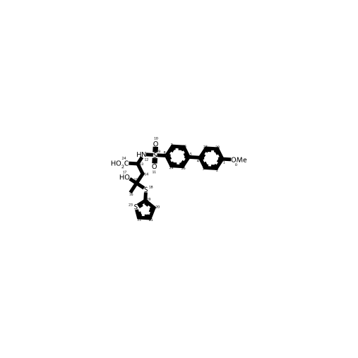 COc1ccc(-c2ccc(S(=O)(=O)NC(CC(C)(O)Sc3cccs3)C(=O)O)cc2)cc1